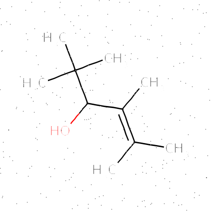 CC(C)=C(C)C(O)C(C)(C)C